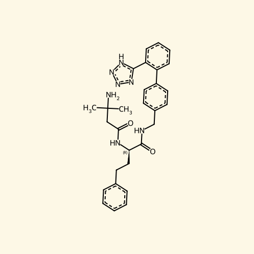 CC(C)(N)CC(=O)N[C@H](CCc1ccccc1)C(=O)NCc1ccc(-c2ccccc2-c2nnn[nH]2)cc1